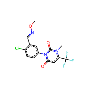 CON=Cc1cc(-n2c(=O)cc(C(F)(F)F)n(C)c2=O)ccc1Cl